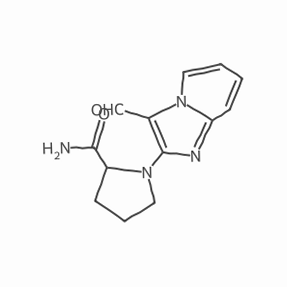 NC(=O)C1CCCN1c1nc2ccccn2c1C=O